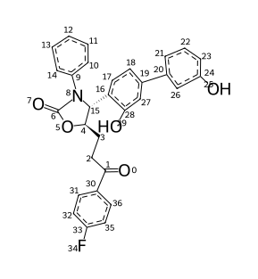 O=C(CC[C@H]1OC(=O)N(c2ccccc2)[C@@H]1c1ccc(-c2cccc(O)c2)cc1O)c1ccc(F)cc1